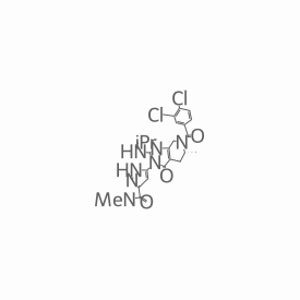 CNC(=O)c1cc(-n2c(NC(C)C)nc3c(c2=O)C[C@@H](C)N(C(=O)c2ccc(Cl)c(Cl)c2)C3)[nH]n1